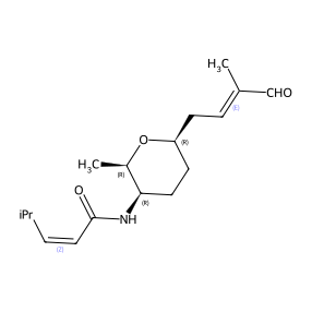 C/C(C=O)=C\C[C@H]1CC[C@@H](NC(=O)/C=C\C(C)C)[C@@H](C)O1